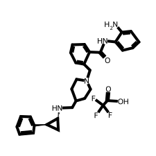 Nc1ccccc1NC(=O)c1ccccc1CN1CCC(CN[C@@H]2C[C@H]2c2ccccc2)CC1.O=C(O)C(F)(F)F